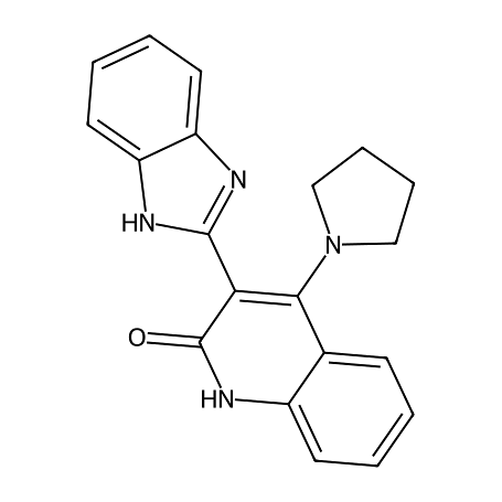 O=c1[nH]c2ccccc2c(N2CCCC2)c1-c1nc2ccccc2[nH]1